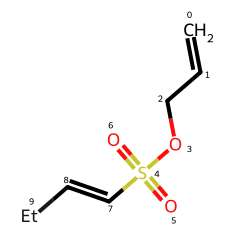 C=CCOS(=O)(=O)/C=C/CC